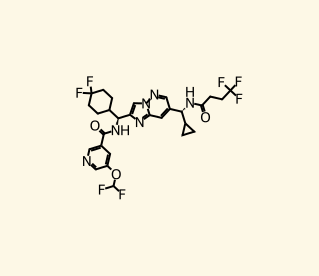 O=C(CCC(F)(F)F)N[C@@H](c1cnn2cc([C@@H](NC(=O)c3cncc(OC(F)F)c3)C3CCC(F)(F)CC3)nc2c1)C1CC1